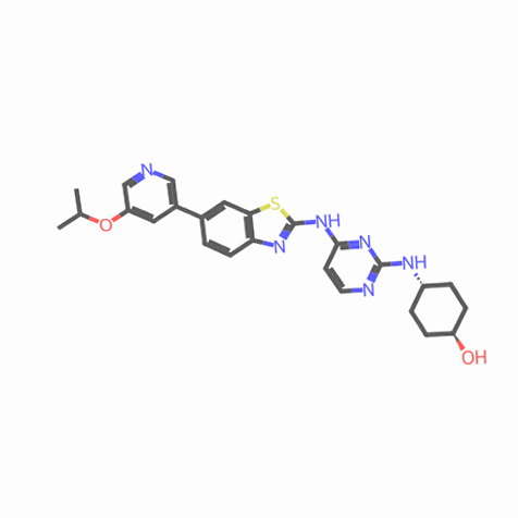 CC(C)Oc1cncc(-c2ccc3nc(Nc4ccnc(N[C@H]5CC[C@H](O)CC5)n4)sc3c2)c1